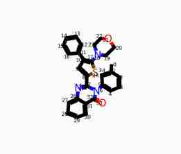 Cc1cccc(-n2c(-c3cc(-c4ccccc4)c(N4CCOCC4)s3)nc3ccccc3c2=O)c1